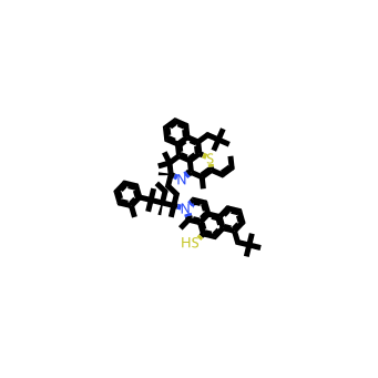 C/C=C\C1=C(C)C2=N[C@](C)(CCC(C)([n+]3ccc4c(c(S)cc5c(CC(C)(C)C)cccc54)c3C)[C@@](C)(CC)C(C)(C)c3ccccc3C)C(C)(C)c3c2c(c(CC(C)(C)C)c2ccccc32)S1